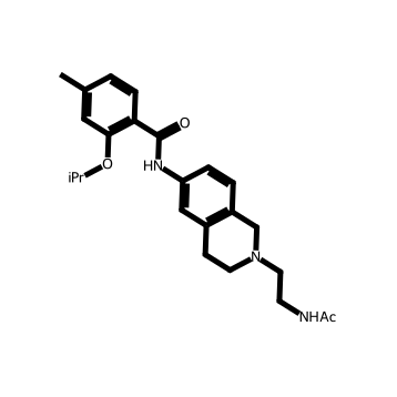 CC(=O)NCCN1CCc2cc(NC(=O)c3ccc(C)cc3OC(C)C)ccc2C1